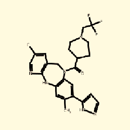 Cc1cc2c(cc1-c1ccn[nH]1)N(C(=O)C1CCN(CC(F)(F)F)CC1)Cc1cc(F)cnc1N2